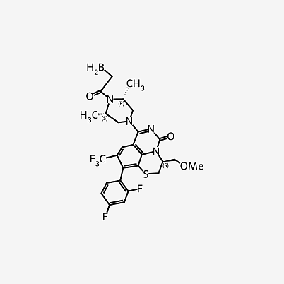 BCC(=O)N1[C@H](C)CN(c2nc(=O)n3c4c(c(-c5ccc(F)cc5F)c(C(F)(F)F)cc24)SC[C@@H]3COC)C[C@@H]1C